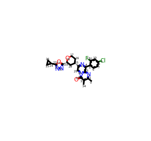 Cc1nc2c(-c3ccc(Cl)cc3F)nc([C@H]3CCO[C@@H](c4nnc(C5CC5)o4)C3)cn2c(=O)c1C